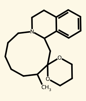 CC1CCCCCN2CCc3ccccc3C2CC12OCCCO2